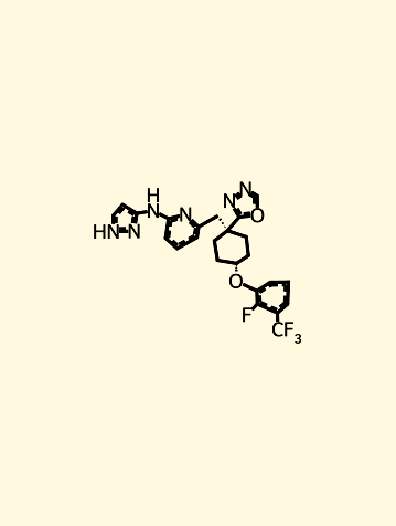 Fc1c(O[C@H]2CC[C@](Cc3cccc(Nc4cc[nH]n4)n3)(c3nnco3)CC2)cccc1C(F)(F)F